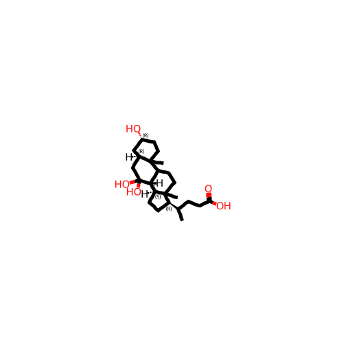 CC(CCC(=O)O)[C@H]1CC[C@H]2[C@H]3C(CCC12C)C1(C)CC[C@@H](O)C[C@@H]1CC3(O)O